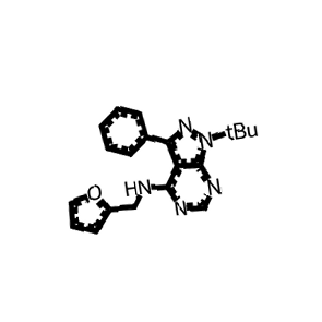 CC(C)(C)n1nc(-c2ccccc2)c2c(NCc3ccco3)ncnc21